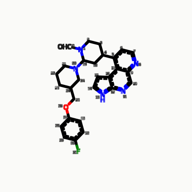 O=CN1CCC(c2ccnc3cnc4[nH]ccc4c23)CC1N1CCCC(COc2ccc(F)cc2)C1